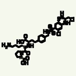 NCCCC[C@H](NC(CCc1ccc(CNS(=O)(=O)c2cc3c(cc2Cl)NC(CCl)NS3)cc1)C(=O)O)C(=O)N1CCC[C@H]1C(=O)O